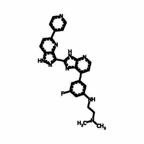 CN(C)CCNc1cc(F)cc(-c2ccnc3[nH]c(-c4n[nH]c5ccc(-c6ccncc6)nc45)nc23)c1